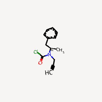 C#CCN(C(=O)Cl)[C@H](C)Cc1ccccc1